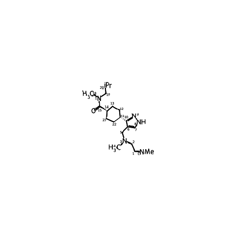 CNCCN(C)Cc1c[nH]nc1[C@H]1CC[C@H](C(=O)N(C)CC(C)C)CC1